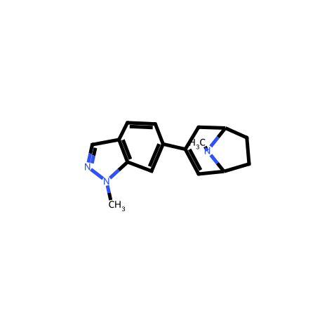 CN1C2C=C(c3ccc4cnn(C)c4c3)CC1CC2